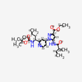 C=CCC(NC(=O)OC(C)(C)C)c1cc(-n2nc(C(=O)OCC)cc2NC(=O)C(C)C=C)ccn1